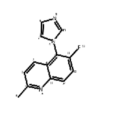 Cc1ccc2c(-n3ccnc3)c(F)ccc2n1